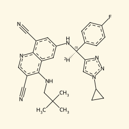 [2H][C@](Nc1cc(C#N)c2ncc(C#N)c(NCC(C)(C)C)c2c1)(c1ccc(F)cc1)c1cn(C2CC2)nn1